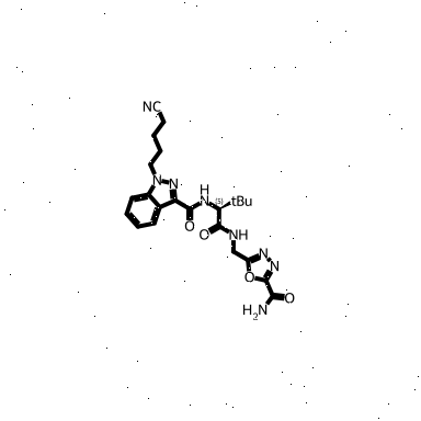 CC(C)(C)[C@H](NC(=O)c1nn(CCCCC#N)c2ccccc12)C(=O)NCc1nnc(C(N)=O)o1